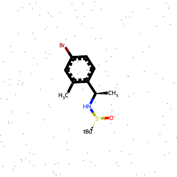 Cc1cc(Br)ccc1[C@@H](C)N[S@+]([O-])C(C)(C)C